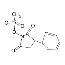 CS(=O)(=O)ON1C(=O)CC(c2ccccc2)C1=O